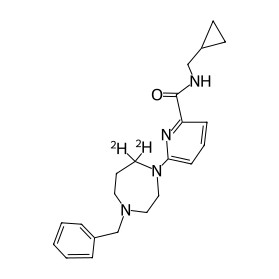 [2H]C1([2H])CCN(Cc2ccccc2)CCN1c1cccc(C(=O)NCC2CC2)n1